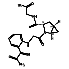 CC(C)(C)C(=O)CNC(=O)[C@@H]1C[C@H]2C[C@H]2N1C(=O)CNc1ccccc1C(=N)C(N)=O